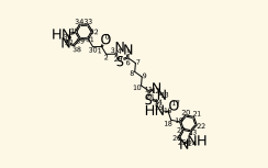 O=C(Cc1nnc(CCCCc2nnc(NC(=O)Cc3cccc4[nH]ncc34)s2)s1)Cc1cccc2[nH]ncc12